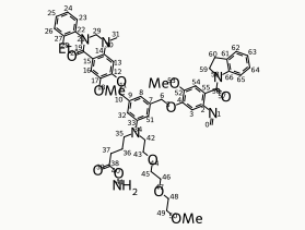 C=Nc1cc(OCc2cc(COc3cc4c(cc3OC)C(=O)N(c3ccccc3CC)CN4C)cc(N(CCCC(=O)ON)CCOCCOCCOC)c2)c(OC)cc1C(=O)N1CCc2ccccc21